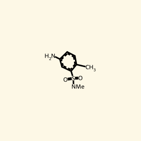 CNS(=O)(=O)c1cc(N)ccc1C